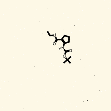 CCOC(=O)C1=C(NC(=O)OC(C)(C)C)CCC1